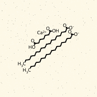 CCCCCCCCCCCCCCCCCC(=O)[O-].CCCCCCCCCCCCCCCCCC(=O)[O-].O=C(O)CCCCCC(=O)O.[Ca+2]